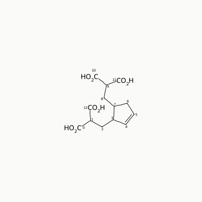 O=C(O)C(CC1C=CCC1CC(C(=O)O)C(=O)O)C(=O)O